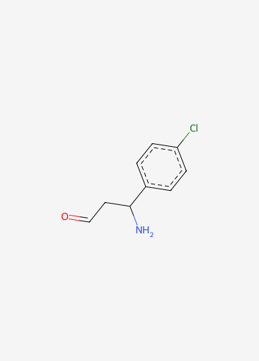 NC(CC=O)c1ccc(Cl)cc1